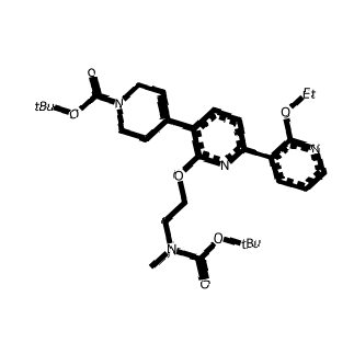 CCOc1ncccc1-c1ccc(C2=CCN(C(=O)OC(C)(C)C)CC2)c(OCCN(C)C(=O)OC(C)(C)C)n1